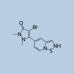 Cn1c(C2=CC3=CNSN3C=C2)c(Br)c(=O)n1C